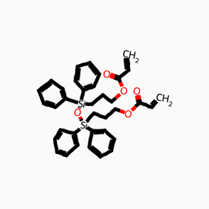 C=CC(=O)OCCC[Si](O[Si](CCCOC(=O)C=C)(c1ccccc1)c1ccccc1)(c1ccccc1)c1ccccc1